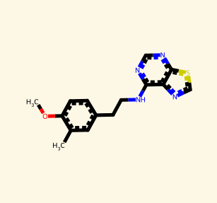 COc1ccc(CCNc2ncnc3scnc23)cc1C